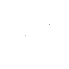 C=C(C(=O)N1CCCC1)c1cc[c]cc1OC